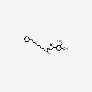 CCC(CCCCCOCCc1ccccc1)NCC(O)c1ccc(O)c(CO)c1